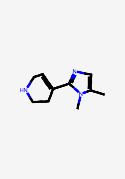 Cc1cnc(C2=CCNCC2)n1C